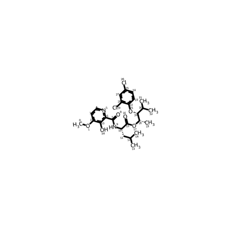 COc1ccnc(C(=O)N[C@@H](CC(C)C)C(=O)O[C@@H](C)[C@H](Oc2ccc(Cl)cc2Cl)C(C)C)c1O